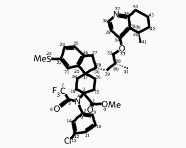 COC(=O)C1(N(C(=O)C(F)(F)F)c2cccc(Cl)c2)CCC2(CC1)c1cc(SC)ccc1C[C@@H]2C[C@@H](C)COc1ccnc2c1[C@H](C)CCC2